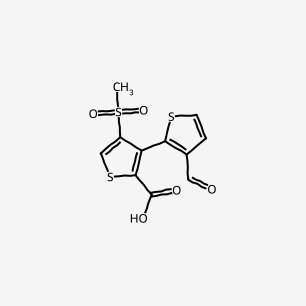 CS(=O)(=O)c1csc(C(=O)O)c1-c1sccc1C=O